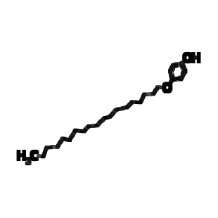 CCCCCCCCCCCCCCCCCCCOc1ccc(O)cc1